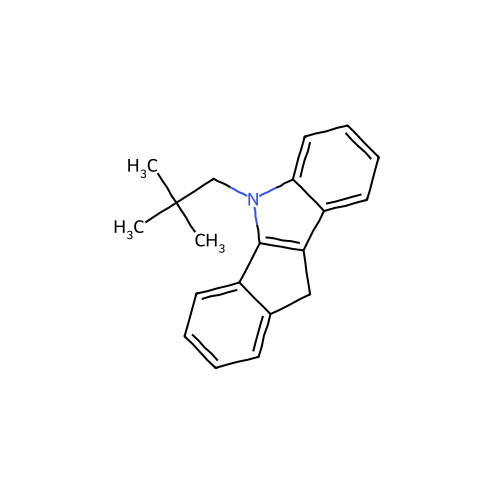 CC(C)(C)Cn1c2c(c3ccccc31)Cc1ccccc1-2